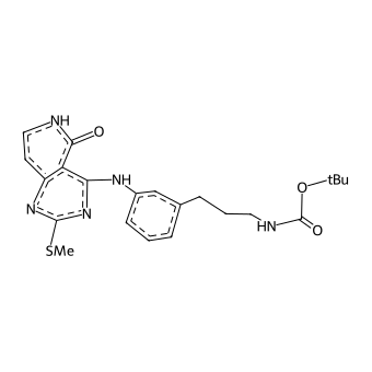 CSc1nc(Nc2cccc(CCCNC(=O)OC(C)(C)C)c2)c2c(=O)[nH]ccc2n1